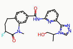 CC(CO)n1cnnc1-c1cccc(NC(=O)c2ccc3c(c2)N(C)C(=O)C(F)CC3)n1